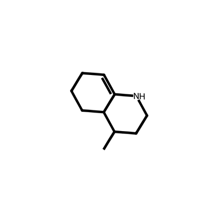 CC1CCNC2=CCCCC21